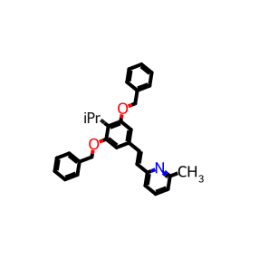 Cc1cccc(C=Cc2cc(OCc3ccccc3)c(C(C)C)c(OCc3ccccc3)c2)n1